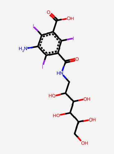 Nc1c(I)c(C(=O)O)c(I)c(C(=O)NCC(O)C(O)C(O)C(O)CO)c1I